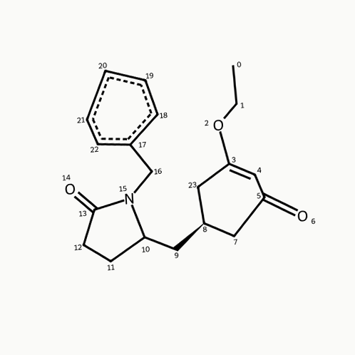 CCOC1=CC(=O)C[C@@H](CC2CCC(=O)N2Cc2ccccc2)C1